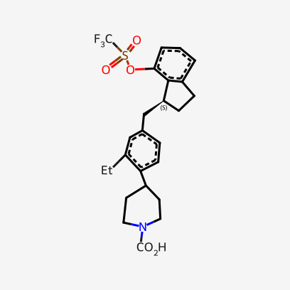 CCc1cc(C[C@@H]2CCc3cccc(OS(=O)(=O)C(F)(F)F)c32)ccc1C1CCN(C(=O)O)CC1